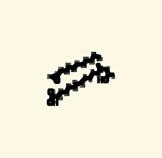 CC(O)CN(C)CCCCCCCCCCCC(=O)O.CCCCCCCCCCC1CO1